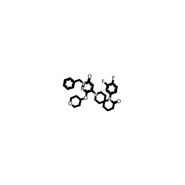 O=C1CCCC2(CCN(c3cc(=O)n(Cc4ccccc4)nc3OC3CCOCC3)CC2)N1c1ccc(F)c(F)c1